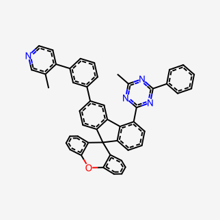 Cc1nc(-c2ccccc2)nc(-c2cccc3c2-c2cc(-c4cccc(-c5ccncc5C)c4)ccc2C32c3ccccc3Oc3ccccc32)n1